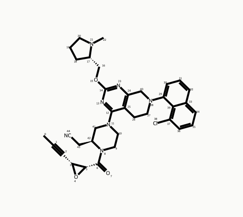 CC#C[C@H]1O[C@H]1C(=O)N1CCN(c2nc(OC[C@@H]3CCCN3C)nc3c2CCN(c2cccc4cccc(Cl)c24)C3)C[C@@H]1CC#N